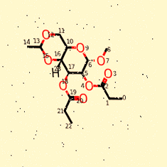 CCC(=O)OC1[C@@H](OC)OC2COC(C)O[C@H]2[C@@H]1OC(=O)CC